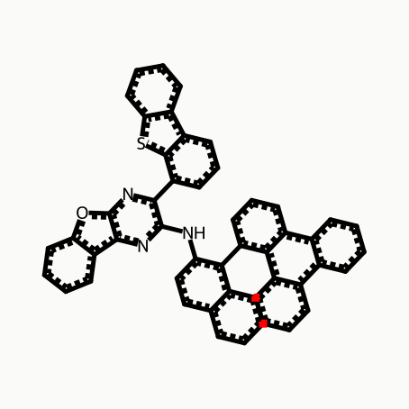 c1ccc2c(-c3cccc4c5ccccc5c5ccccc5c34)c(Nc3nc4c(nc3-c3cccc5c3sc3ccccc35)oc3ccccc34)ccc2c1